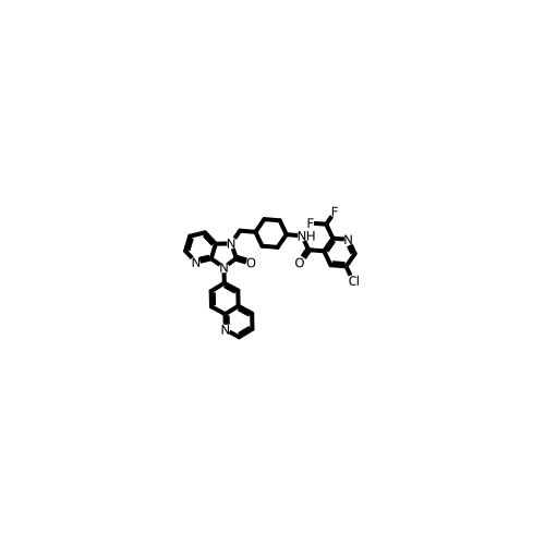 O=C(NC1CCC(Cn2c(=O)n(-c3ccc4ncccc4c3)c3ncccc32)CC1)c1cc(Cl)cnc1C(F)F